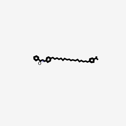 C=C(C)c1ccc(CCCCCCCCCCCCCCCCCCc2ccc(/C=C/C(=O)c3ccccc3)cc2)cc1